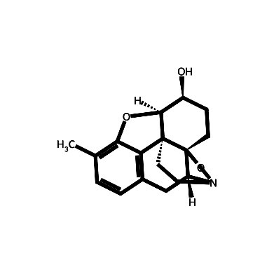 Cc1ccc2c3c1O[C@H]1[C@@H](O)CC[C@]45OCN(CC[C@]314)[C@@H]5C2